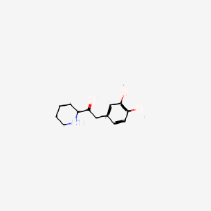 COc1ccc(CC(=O)C2CCCCN2)cc1OC